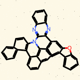 c1ccc2c3c(ccc2c1)N(c1nc2ccccc2nc1-c1ccc2c(c1)oc1ccccc12)c1cccc2cccc-3c12